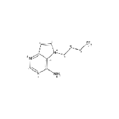 Nc1ncnc2ccn(CCCC(F)(F)F)c12